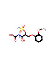 COc1ccccc1OCC(OS(N)(=O)=O)C(O)NC(=O)O